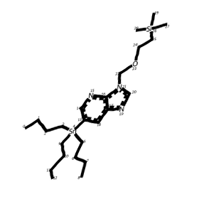 CCC[CH2][Sn]([CH2]CCC)([CH2]CCC)[c]1cnc2c(c1)ncn2COCC[Si](C)(C)C